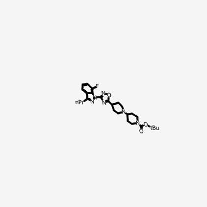 CCCc1nn(-c2noc(C3CCN(C4CCN(C(=O)OC(C)(C)C)CC4)CC3)n2)c2c(F)cccc12